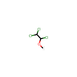 [C]OC(Cl)C(Cl)Cl